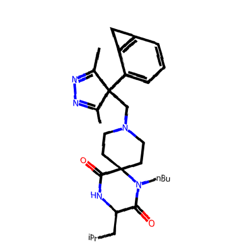 CCCCN1C(=O)C(CC(C)C)NC(=O)C12CCN(CC1(c3cccc4c3C4)C(C)=NN=C1C)CC2